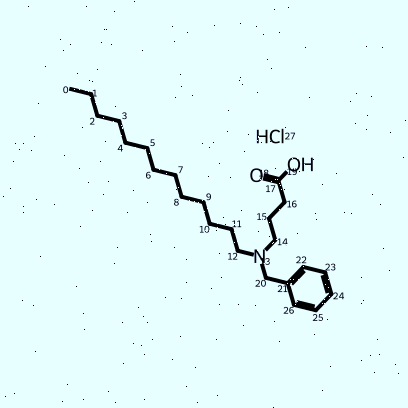 CCCCCCCCCCCCCN(CCCC(=O)O)Cc1ccccc1.Cl